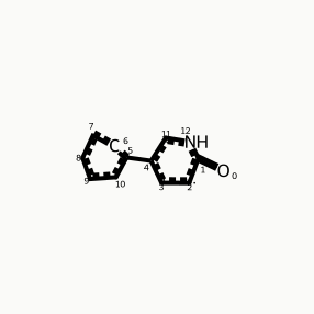 O=c1[c]cc(-c2ccccc2)c[nH]1